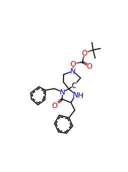 CC(C)(C)OC(=O)ON1CCC2(CC1)NC(Cc1ccccc1)C(=O)N2Cc1ccccc1